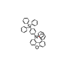 c1ccc(-c2cccc3oc4cccc(N(c5ccccc5)c5ccc([Si](c6ccccc6)(c6ccccc6)c6ccccc6)cc5)c4c23)cc1